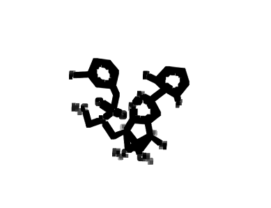 CCN(C[C@@]12CC[C@@H](c3cc(-c4c(F)cccc4F)nnc31)C2(C)C)S(=O)(=O)Cc1cccc(F)c1